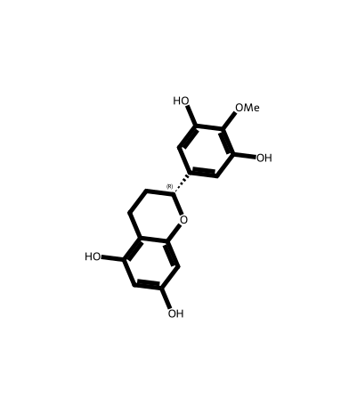 COc1c(O)cc([C@H]2CCc3c(O)cc(O)cc3O2)cc1O